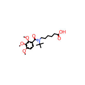 COc1ccc(C(=O)N(CCCCCC(=O)O)C(C)(C)C)c(OC)c1OC